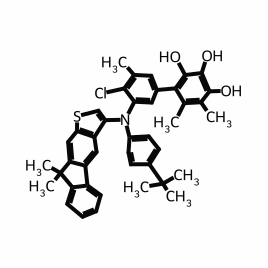 Cc1cc(-c2c(C)c(C)c(O)c(O)c2O)cc(N(c2ccc(C(C)(C)C)cc2)c2csc3cc4c(cc23)-c2ccccc2C4(C)C)c1Cl